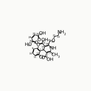 CC1=C(C(=O)O)C(c2ccccc2Cl)C(C(=O)O)=C(COCCN)N1.O=C(O)/C=C\C(=O)O